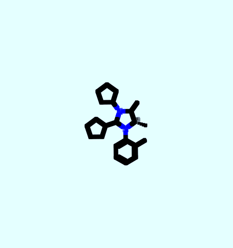 Cc1ccccc1N1C(C2CCCC2)N(C2CCCC2)C(C)[C@@H]1C